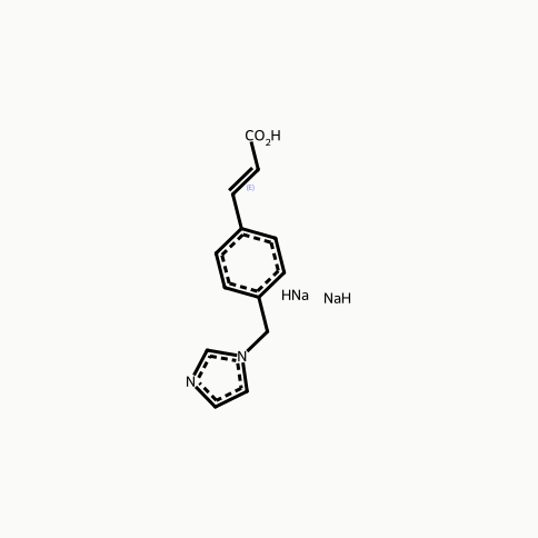 O=C(O)/C=C/c1ccc(Cn2ccnc2)cc1.[NaH].[NaH]